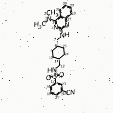 CN(C)c1nc(NC[C@H]2CC[C@H](CNS(=O)(=O)c3cccc(C#N)c3)CC2)nc2ccccc12